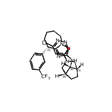 FC(F)(F)c1cccc([C@@H]2CCCCn3nc(N[C@H]4[C@@H]5CC[C@H]4CN(c4cnnc(Cl)c4)C5)nc32)c1